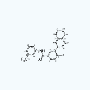 Cc1ccc(C(=O)Nc2cccc(C(F)(F)F)c2)cc1-c1cnc2ccccc2c1